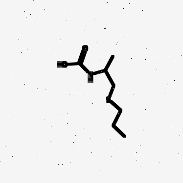 CCCSCC(C)NC(=O)O